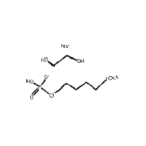 CCCCCCCCCCCCOP(=O)([O-])O.OCCO.[Na+]